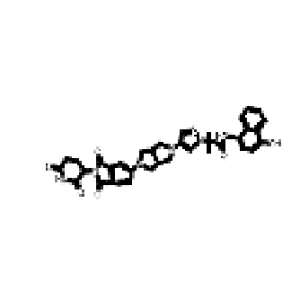 CC(C)(C(=O)Nc1ccc(C#N)c2ccccc12)n1cc(N2CC3CN(c4ccc5c(c4)C(=O)N(C4CCC(=O)NC4=O)C5=O)CC3C2)cn1